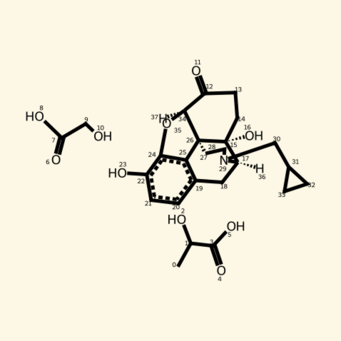 CC(O)C(=O)O.O=C(O)CO.O=C1CC[C@@]2(O)[C@H]3Cc4ccc(O)c5c4[C@@]2(CCN3CC2CC2)[C@H]1O5